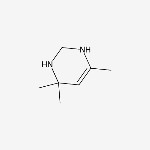 CC1=CC(C)(C)NCN1